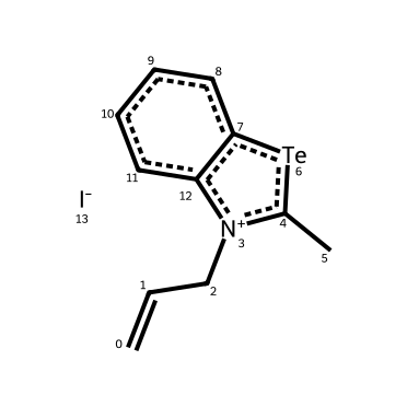 C=CC[n+]1c(C)[te]c2ccccc21.[I-]